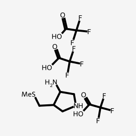 CSCC1CNCC1N.O=C(O)C(F)(F)F.O=C(O)C(F)(F)F.O=C(O)C(F)(F)F